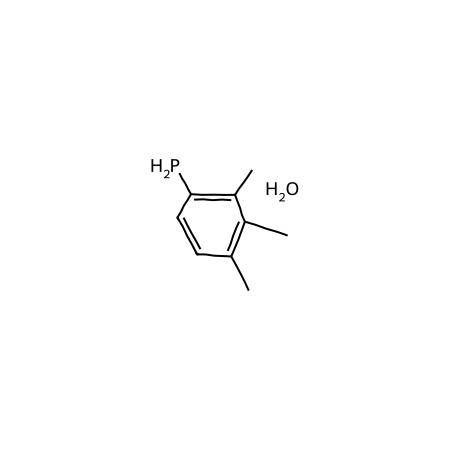 Cc1ccc(P)c(C)c1C.O